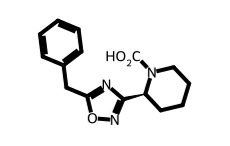 O=C(O)N1CCCC[C@H]1c1noc(Cc2ccccc2)n1